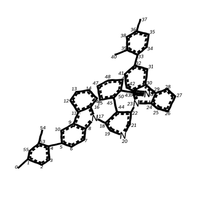 Cc1ccc(-c2ccc3c(c2)c2ccccc2n3-c2cncc(-n3c4ccccc4c4cc(-c5ccc(C)cc5C)ccc43)c2-c2ccccc2C#N)c(C)c1